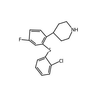 Fc1ccc(C2CCNCC2)c(Sc2ccccc2Cl)c1